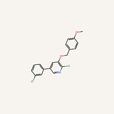 COc1ccc(COc2cc(-c3cccc(Cl)c3)cnc2Cl)cc1